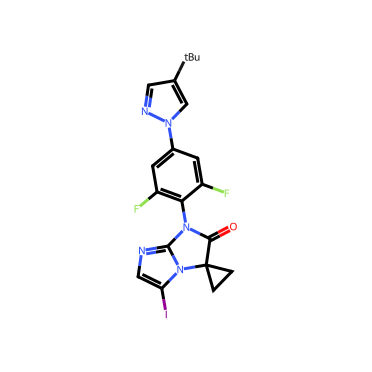 CC(C)(C)c1cnn(-c2cc(F)c(N3C(=O)C4(CC4)n4c(I)cnc43)c(F)c2)c1